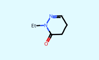 CCN1N=[C]CCC1=O